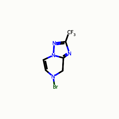 FC(F)(F)c1nc2n(n1)C=CN(Br)C2